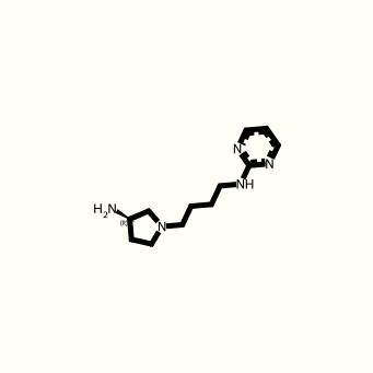 N[C@@H]1CCN(CCCCNc2ncccn2)C1